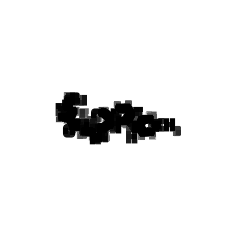 CN1CC[C@@H](Nc2cccn3c(CC(F)(F)F)c(-c4nnc(CNC(=O)c5cnn(C(C)(C)C)c5)s4)nc23)[C@@H](F)C1